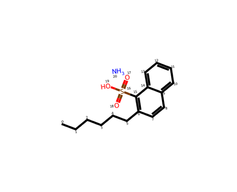 CCCCCCc1ccc2ccccc2c1S(=O)(=O)O.N